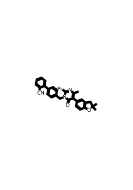 CCCc1nc(C)c(-c2ccc3c(c2)CC(C)(C)O3)c(=O)n1Cc1ccc(-c2ccccc2C#N)cc1